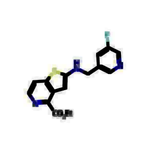 CCOC(=O)c1nccc2sc(NCc3cncc(F)c3)cc12